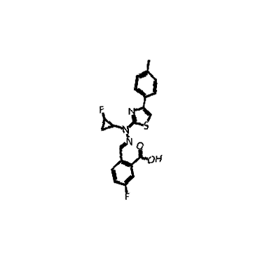 Cc1ccc(-c2csc(N(/N=C/c3ccc(F)cc3C(=O)O)C3CC3F)n2)cc1